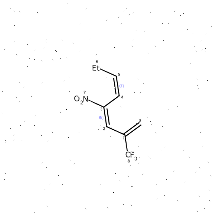 C=C(/C=C(\C=C/CC)[N+](=O)[O-])C(F)(F)F